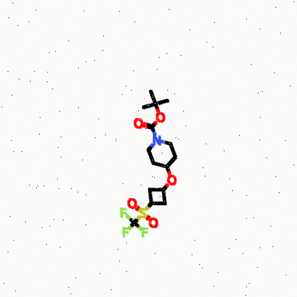 CC(C)(C)OC(=O)N1CCC(OC2CC(S(=O)(=O)C(F)(F)F)C2)CC1